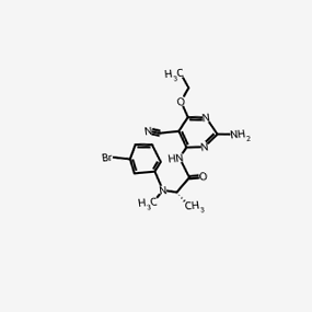 CCOc1nc(N)nc(NC(=O)[C@H](C)N(C)c2cccc(Br)c2)c1C#N